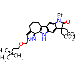 CCOC(=O)CC1(CC(=O)OCC)C(=O)N(CC)c2cc3c4c([nH]c3cc21)-c1nn(COCC[Si](C)(C)C)cc1CCC4